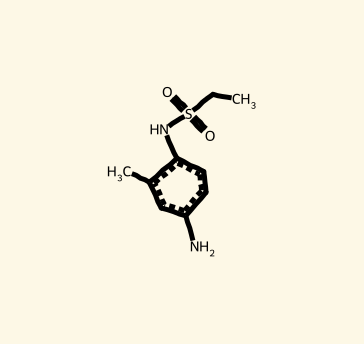 CCS(=O)(=O)Nc1ccc(N)cc1C